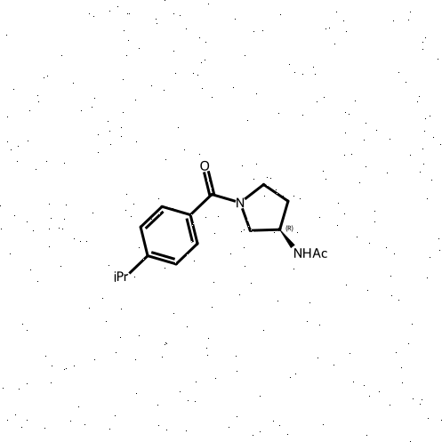 CC(=O)N[C@@H]1CCN(C(=O)c2ccc(C(C)C)cc2)C1